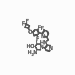 C[C@H]1CN(c2ccncc2NCc2ccc(F)c(-c3c(F)cc(OC4CC(F)(F)C4)cc3F)n2)C[C@@H](N)[C@@H]1O